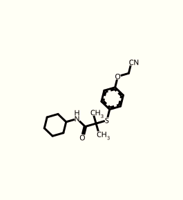 CC(C)(Sc1ccc(OCC#N)cc1)C(=O)NC1CCCCC1